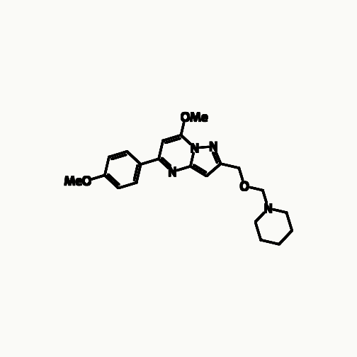 COc1ccc(-c2cc(OC)n3nc(COCN4CCCCC4)cc3n2)cc1